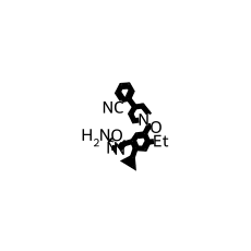 CCc1cc(C2CC2)c(-c2nnc(N)o2)cc1C(=O)N1CCC(c2ccccc2C#N)CC1